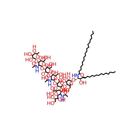 CCCCCCCCCCCCC/C=C/[C@@H](O)[C@H](CO[C@@H]1OC(CO)[C@@H](O[C@@H]2OC(CO)[C@H](O[C@@H]3OC(CO)[C@H](O)[C@H](O[C@@H]4OC(CO)[C@H](O)[C@H](O[C@@H]5OC(CO)[C@H](O)[C@H](O[C@H]6OC(C)[C@@H](O)C(O)[C@@H]6O)C5NC(C)=O)C4O)C3NC(C)=O)[C@H](O[C@]3(C(=O)O)CC(O)[C@@H](NC(C)=O)C([C@H](O)[C@H](O)CO)O3)C2O)[C@H](O)C1O)NC(=O)CCCCCCCCCCCCCCCCCCC